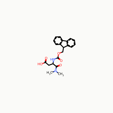 CN(C)C(=O)C(CC(=O)O)NC(=O)OCC1c2ccccc2-c2ccccc21